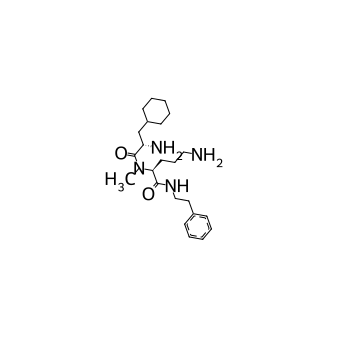 CN(C(=O)[C@@H](N)CC1CCCCC1)[C@@H](CCCN)C(=O)NCCc1ccccc1